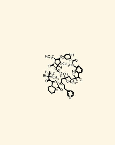 CCC(C)(C)C(=O)C(=O)N1CCCC[C@H]1C(=O)O[C@H](CCc1cccnc1)CC(C)(C)CCC(C)(C)C(=O)c1cccc(NC(=O)[C@@H]2C[C@H](SC3=C(C(=O)O)N4C(=O)[C@H]([C@@H](C)O)[C@H]4[C@H]3C)CN2)c1